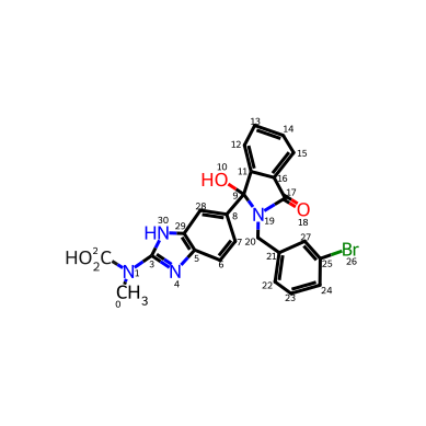 CN(C(=O)O)c1nc2ccc(C3(O)c4ccccc4C(=O)N3Cc3cccc(Br)c3)cc2[nH]1